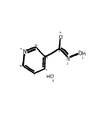 Cl.ON=C(Cl)c1cccnc1